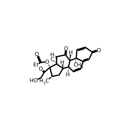 CCC(=O)O[C@@]1(C(=O)CO)[C@H](C)C[C@H]2[C@@H]3C=CC4=CC(=O)C=C[C@]4(C)[C@H]3C(=O)C[C@@]21C